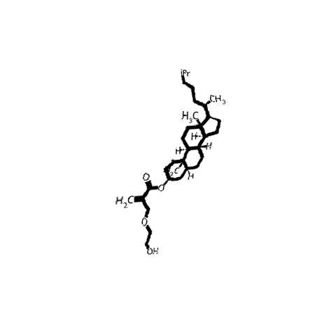 C=C(COCCO)C(=O)O[C@H]1CC[C@@]2(C)[C@@H](CC[C@@H]3[C@@H]2CC[C@]2(C)[C@@H]([C@H](C)CCCC(C)C)CC[C@@H]32)C1